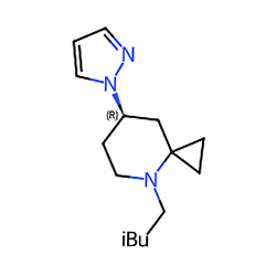 CCC(C)CN1CC[C@@H](n2cccn2)CC12CC2